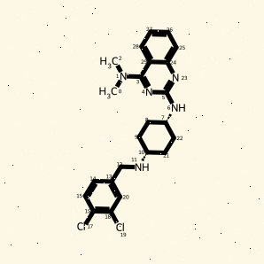 CN(C)c1nc(N[C@H]2CC[C@@H](NCc3ccc(Cl)c(Cl)c3)CC2)nc2ccccc12